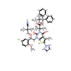 COc1ccc(F)cc1[C@H](Cn1c(=O)n(C(C)(C)C(=O)O[Si](c2ccccc2)(c2ccccc2)C(C)(C)C)c(=O)c2c(C)c(-n3nccn3)sc21)OCC(C)(C)C#N